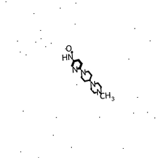 CN1CCN(C2CCN(c3ccc(NC=O)cn3)CC2)CC1